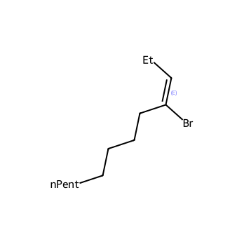 CC/C=C(/Br)CCCCCCCCC